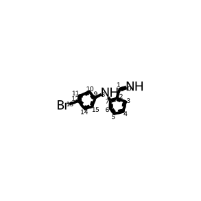 N=Cc1ccccc1Nc1ccc(Br)cc1